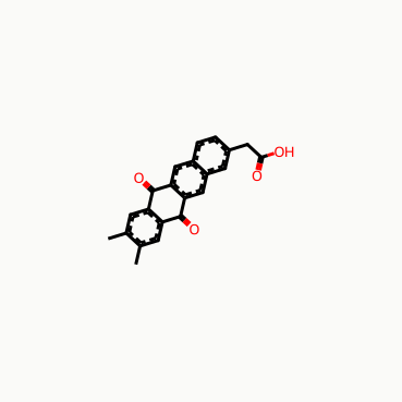 Cc1cc2c(cc1C)C(=O)c1cc3cc(CC(=O)O)ccc3cc1C2=O